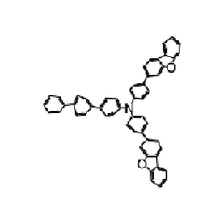 c1ccc(-c2ccc(-c3ccc(N(c4ccc(-c5ccc6c(c5)oc5ccccc56)cc4)c4ccc(-c5ccc6c(c5)oc5ccccc56)cc4)cc3)cc2)cc1